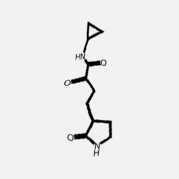 O=C(CCC1CCNC1=O)C(=O)NC1CC1